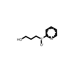 [O-][S+](CCCO)c1ccccn1